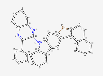 c1ccc(-c2nc3ccccc3nc2-n2c3ccccc3c3cc4c(cc32)sc2ccc3ccccc3c24)cc1